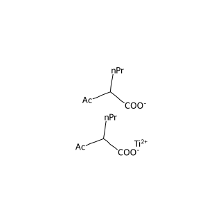 CCCC(C(C)=O)C(=O)[O-].CCCC(C(C)=O)C(=O)[O-].[Ti+2]